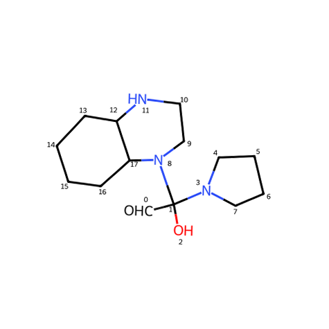 O=CC(O)(N1CCCC1)N1CCNC2CCCCC21